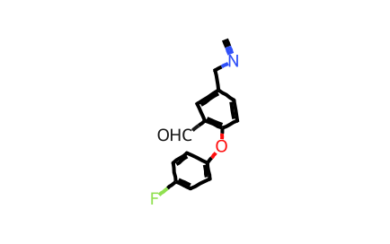 C=NCc1ccc(Oc2ccc(F)cc2)c(C=O)c1